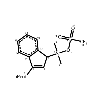 CCCC(C)C1=CC([Si](C)(C)OS(=O)(=O)C(F)(F)F)c2ccccc21